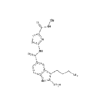 CC(C)(C)NC(=O)c1csc(NC(=O)c2ccc3[nH]c(C(=O)O)c(CCCN)c3c2)n1